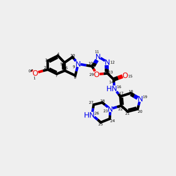 COc1ccc2c(c1)CN(c1nnc(C(=O)Nc3cnccc3N3CCNCC3)o1)C2